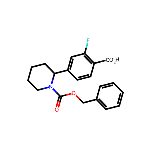 O=C(O)c1ccc(C2CCCCN2C(=O)OCc2ccccc2)cc1F